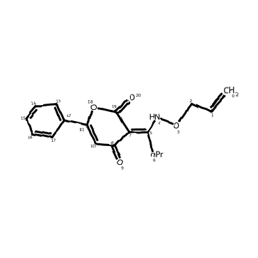 C=CCONC(CCC)=C1C(=O)C=C(c2ccccc2)OC1=O